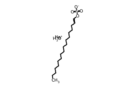 CCCCCCCCCCCCCCCCC=COS(=O)(=O)[O-].O.[Na+]